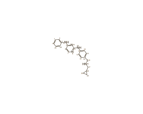 c1ccc(Nc2ccnc(Nc3ccc(SNCC4CC4)cc3)n2)cc1